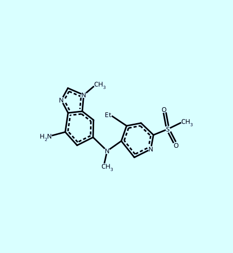 CCc1cc(S(C)(=O)=O)ncc1N(C)c1cc(N)c2ncn(C)c2c1